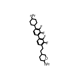 CCCC1CCC(c2ccc(-c3ccc(CCC4CCC(CCC)OC4)c(F)c3F)c(F)c2F)CC1